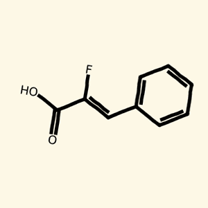 O=C(O)C(F)=Cc1ccccc1